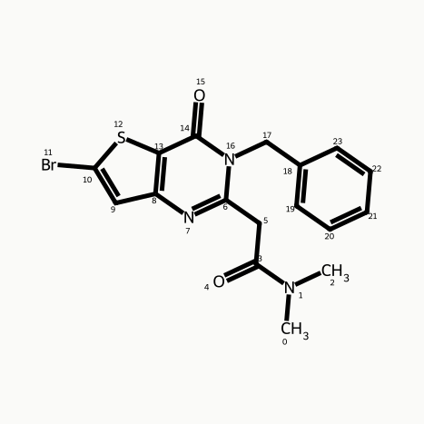 CN(C)C(=O)Cc1nc2cc(Br)sc2c(=O)n1Cc1ccccc1